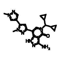 Cn1cc(-c2cc(-c3cn(C(C4CC4)C4CC4)c(=O)c4c(N)n[nH]c34)nn2C)cn1